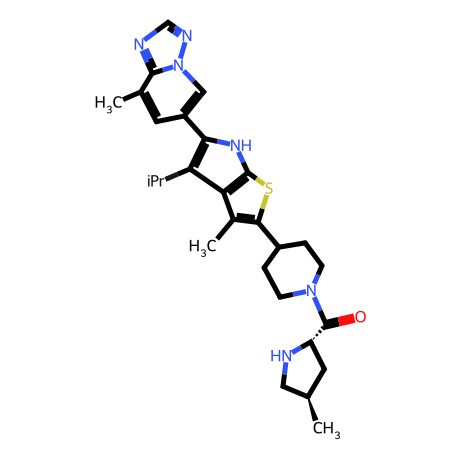 Cc1c(C2CCN(C(=O)[C@@H]3C[C@@H](C)CN3)CC2)sc2[nH]c(-c3cc(C)c4ncnn4c3)c(C(C)C)c12